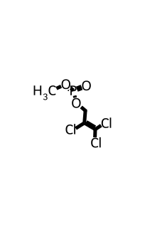 CO[P](=O)OCC(Cl)=C(Cl)Cl